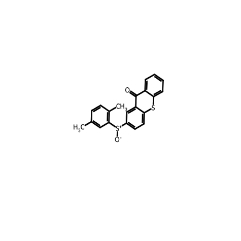 Cc1ccc(C)c([S+]([O-])c2ccc3sc4ccccc4c(=O)c3c2)c1